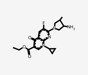 CCOC(=O)c1cn(C2CC2)c2nc(N3CC(C)C(N)C3)c(F)cc2c1=O